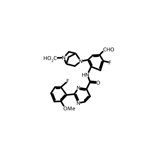 COc1cccc(F)c1-c1nccc(C(=O)Nc2cc(F)c(C=O)cc2N2CC3CC2CN3C(=O)O)n1